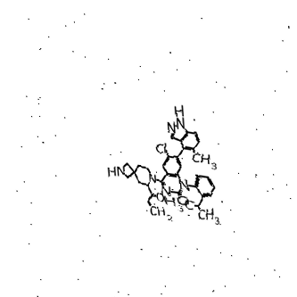 C=CC(=O)C1CC2(CCN1c1nc(=O)n(-c3ccccc3C(C)C)c3cc(-c4c(C)ccc5[nH]ncc45)c(Cl)cc13)CNC2